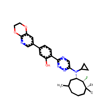 CC[C@]1(C)CCCC(C)C[C@H](N(c2cnc(-c3ccc(-c4cnc5c(c4)OCCO5)cc3O)nn2)C2CC2)[C@@H]1F